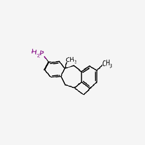 Cc1cc2c3c(c1)CC1(C)C=C(P)CC=C1CC3C2